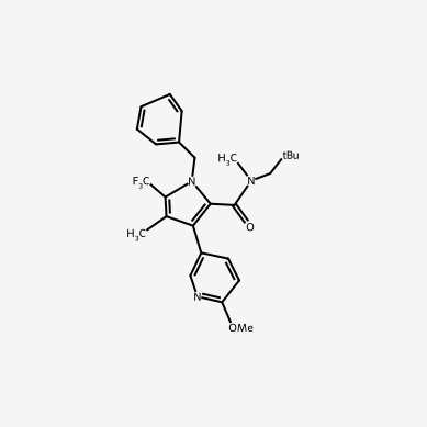 COc1ccc(-c2c(C)c(C(F)(F)F)n(Cc3ccccc3)c2C(=O)N(C)CC(C)(C)C)cn1